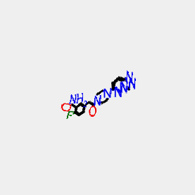 NC(=O)c1cc(CC(=O)N2CCN(c3ccc4nncn4n3)CC2)ccc1F